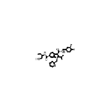 CCC(CO)NC(=O)c1ccc2c(C(=O)NCc3ccc(F)c(F)c3)c(C(C)C)n(Cc3ccccn3)c2c1